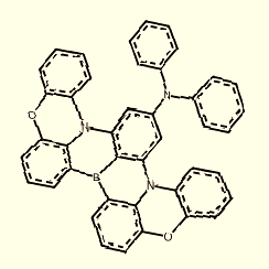 c1ccc(N(c2ccccc2)c2cc3c4c(c2)N2c5ccccc5Oc5cccc(c52)B4c2cccc4c2N3c2ccccc2O4)cc1